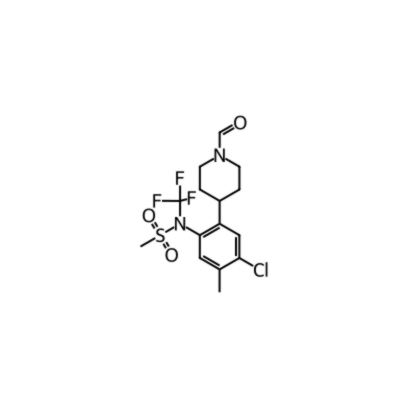 Cc1cc(N(C(F)(F)F)S(C)(=O)=O)c(C2CCN(C=O)CC2)cc1Cl